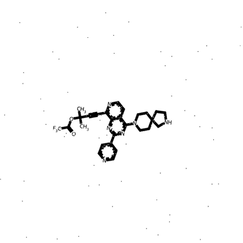 CC(C)(C#Cc1nccc2c(N3CCC4(CCNC4)CC3)nc(-c3ccncc3)nc12)OC(=O)C(F)(F)F